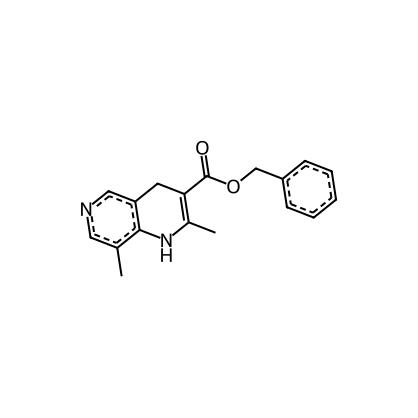 CC1=C(C(=O)OCc2ccccc2)Cc2cncc(C)c2N1